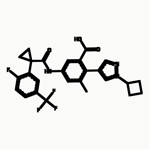 Cc1cc(NC(=O)C2(c3cc(C(F)(F)F)ccc3F)CC2)cc(C(=O)O)c1-c1cnn(C2CCC2)c1